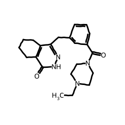 CCN1CCN(C(=O)c2cccc(Cc3n[nH]c(=O)c4c3CCCC4)c2)CC1